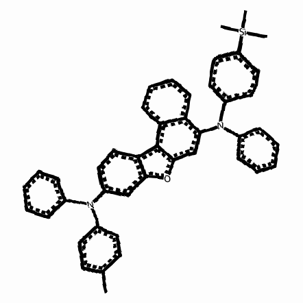 Cc1ccc(N(c2ccccc2)c2ccc3c(c2)oc2cc(N(c4ccccc4)c4ccc([Si](C)(C)C)cc4)c4ccccc4c23)cc1